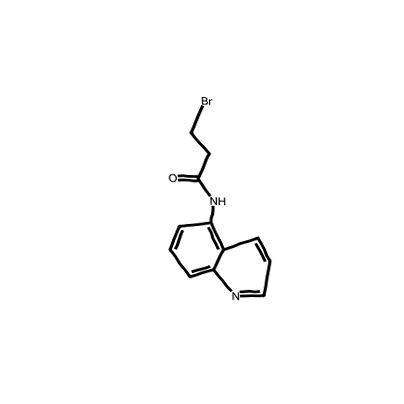 O=C(CCBr)Nc1cccc2ncccc12